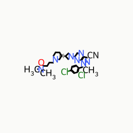 CC(c1ccc(Cl)cc1Cl)n1nc(C#N)c2ncc(N3CC([C@H]4CCCN(CCCC(=O)N(C)C)C4)C3)nc21